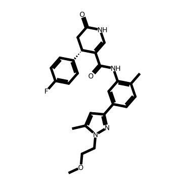 COCCn1nc(-c2ccc(C)c(NC(=O)C3=CNC(=O)C[C@H]3c3ccc(F)cc3)c2)cc1C